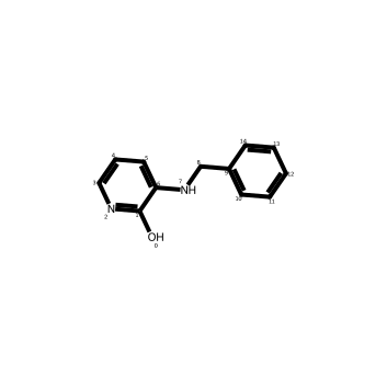 Oc1ncccc1NCc1ccccc1